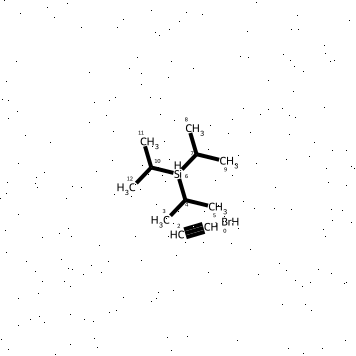 Br.C#C.CC(C)[SiH](C(C)C)C(C)C